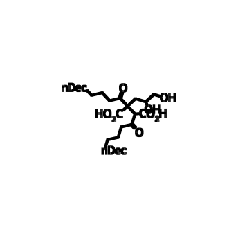 CCCCCCCCCCCCCC(=O)C(C(=O)O)C(CC(O)CO)(C(=O)O)C(=O)CCCCCCCCCCCCC